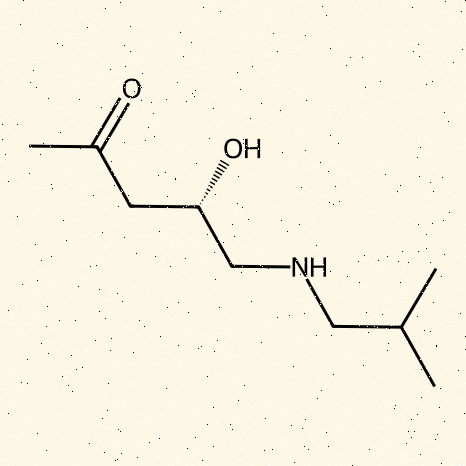 CC(=O)C[C@H](O)CNCC(C)C